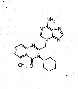 Cc1cccc2nc(Cn3cnc(N)c4ncnc3-4)n(C3CCCCC3)c(=O)c12